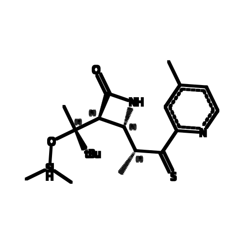 Cc1ccnc(C(=S)[C@H](C)[C@H]2NC(=O)[C@@H]2[C@@](C)(O[SiH](C)C)C(C)(C)C)c1